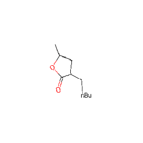 CCCCCC1CC(C)OC1=O